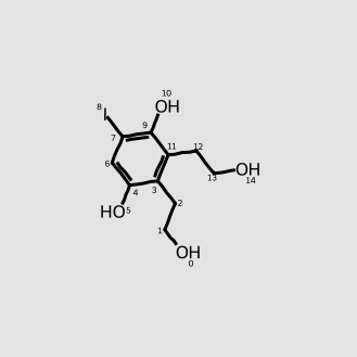 OCCc1c(O)cc(I)c(O)c1CCO